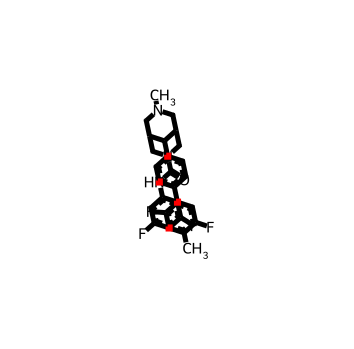 Cc1cc(F)c(-c2ccc(C3C4CN(C)CC3CN(C(=O)Nc3cc(F)cc(F)c3)C4)cc2)cc1F